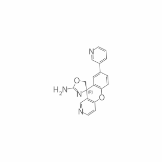 NC1=N[C@@]2(CO1)c1cnccc1Oc1ccc(-c3cccnc3)cc12